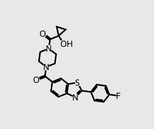 O=C(c1ccc2nc(-c3ccc(F)cc3)sc2c1)N1CCN(C(=O)C2(O)CC2)CC1